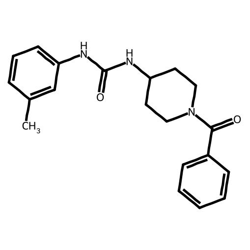 Cc1cccc(NC(=O)NC2CCN(C(=O)c3ccccc3)CC2)c1